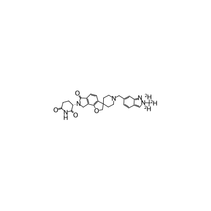 [2H]C([2H])([2H])n1cc2ccc(CN3CCC4(CC3)COc3c4ccc4c3CN([C@H]3CCC(=O)NC3=O)C4=O)cc2n1